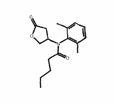 CCCCC(=O)N(c1c(C)cccc1C)C1COC(=O)C1